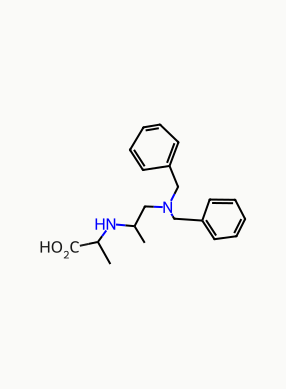 CC(CN(Cc1ccccc1)Cc1ccccc1)NC(C)C(=O)O